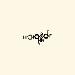 CCNc1cc(N2CCNCC2)ccc1S(=O)(=O)c1ccc(F)c(F)c1